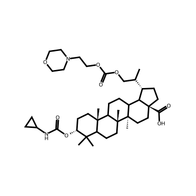 CC(COC(=O)OCCN1CCOCC1)[C@@H]1CC[C@]2(C(=O)O)CC[C@]3(C)C(CCC4[C@@]5(C)CC[C@@H](OC(=O)NC6CC6)C(C)(C)C5CC[C@]43C)C12